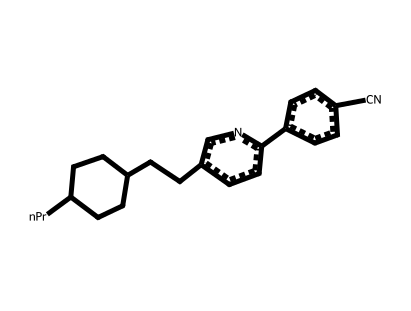 CCCC1CCC(CCc2ccc(-c3ccc(C#N)cc3)nc2)CC1